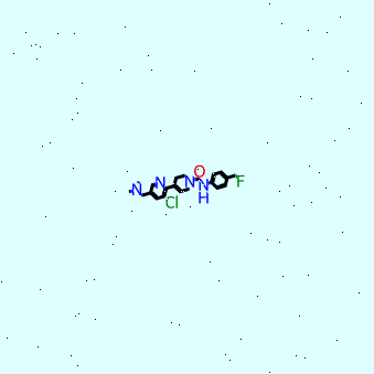 CN(C)Cc1cnc(C2=CCN(C(=O)Nc3ccc(CF)cc3)CC2)c(Cl)c1